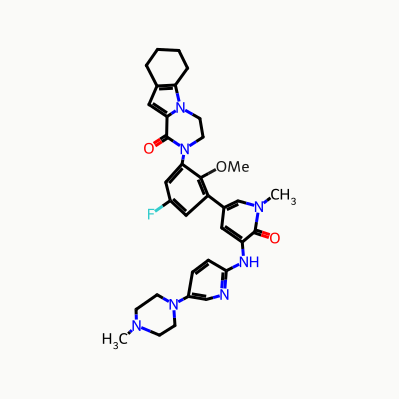 COc1c(-c2cc(Nc3ccc(N4CCN(C)CC4)cn3)c(=O)n(C)c2)cc(F)cc1N1CCn2c(cc3c2CCCC3)C1=O